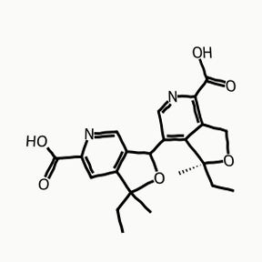 CCC1(C)OC(c2cnc(C(=O)O)c3c2[C@](C)(CC)OC3)c2cnc(C(=O)O)cc21